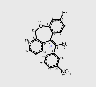 CC/C(=C1\c2ccc(F)cc2OCc2ncccc21)c1cccc([N+](=O)[O-])c1